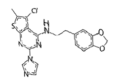 Cc1sc2nc(-n3ccnc3)nc(NCCc3ccc4c(c3)OCO4)c2c1Cl